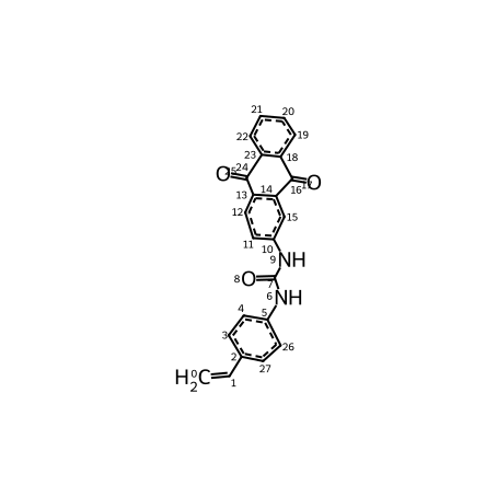 C=Cc1ccc(NC(=O)Nc2ccc3c(c2)C(=O)c2ccccc2C3=O)cc1